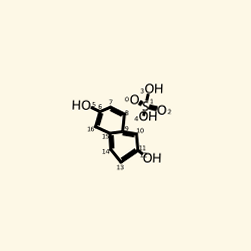 O=S(=O)(O)O.Oc1ccc2cc(O)ccc2c1